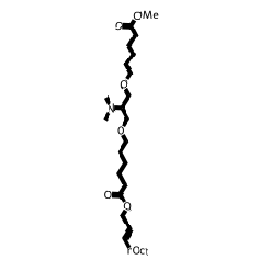 CCCCCCCCC=CCOC(=O)CCCCCOCC(COCCCCCC(=O)OC)N(C)C